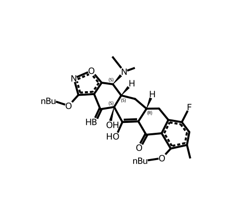 B=C1c2c(OCCCC)noc2[C@@H](N(C)C)[C@@H]2C[C@@H]3Cc4c(F)cc(C)c(OCCCC)c4C(=O)C3=C(O)[C@]12O